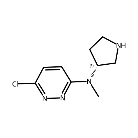 CN(c1ccc(Cl)nn1)[C@@H]1CCNC1